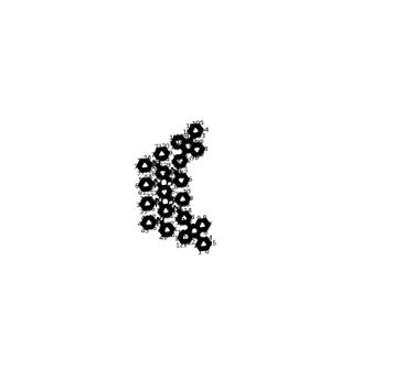 c1ccc(-c2c3ccccc3c(-c3ccc(N4c5ccccc5B5c6cc7c(cc6N(c6ccccc6)c6cc(N(c8ccccc8)c8ccccc8)cc4c65)N(c4ccccc4)c4cc(N(c5ccccc5)c5ccccc5)cc5c4B7c4ccccc4N5c4ccc(-c5c6ccccc6c(-c6ccccc6)c6ccccc56)cc4)cc3)c3ccccc23)cc1